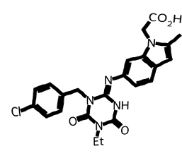 CCn1c(=O)[nH]/c(=N\c2ccc3cc(C)n(CC(=O)O)c3c2)n(Cc2ccc(Cl)cc2)c1=O